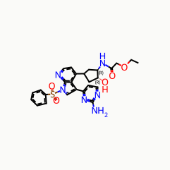 CCOCC(=O)N[C@@H]1CC(c2ccnc3c2c(-c2ccnc(N)n2)cn3S(=O)(=O)c2ccccc2)C[C@H]1O